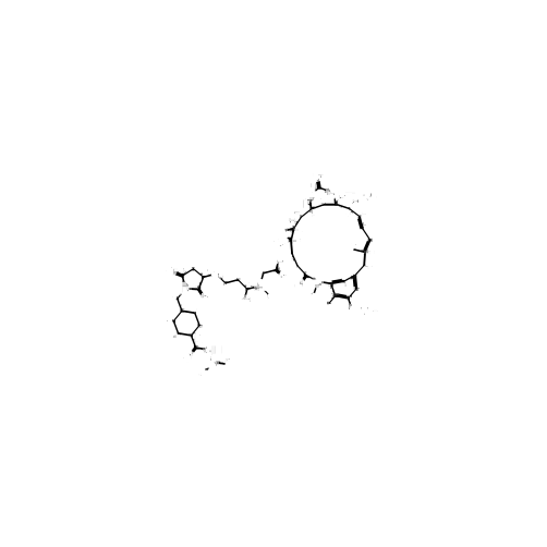 COc1cc2cc(c1Cl)N(C)C(=O)C[C@H](OC(=O)CN(C)C(CCSC1CC(=O)N(CC3CCC(C(=O)NN(C)I)CC3)C1=O)C(F)(F)F)[C@]1(C)O[C@H]1C[C@@H]1C[C@@](O)(NC(=O)O1)[C@H](OC)/C=C/C=C(\C)C2